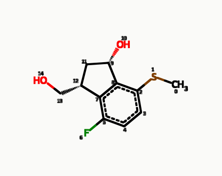 CSc1ccc(F)c2c1[C@@H](O)C[C@H]2CO